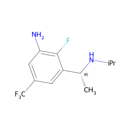 CC(C)N[C@H](C)c1cc(C(F)(F)F)cc(N)c1F